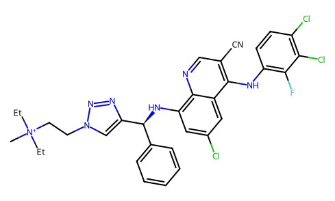 CC[N+](C)(CC)CCn1cc([C@@H](Nc2cc(Cl)cc3c(Nc4ccc(Cl)c(Cl)c4F)c(C#N)cnc23)c2ccccc2)nn1